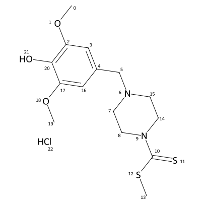 COc1cc(CN2CCN(C(=S)SC)CC2)cc(OC)c1O.Cl